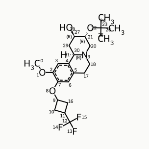 COc1cc2c(cc1OC1CC(C(F)(F)F)C1)CCN1C[C@@H](OC(C)(C)C)[C@H](O)C[C@H]21